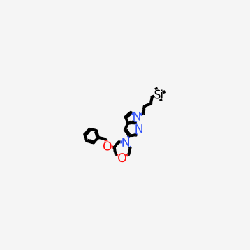 C[Si](C)(C)CCCCn1ccc2cc(N3CCOCC(OCc4ccccc4)C3)cnc21